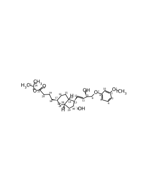 COc1cccc(OC[C@H](O)C=C[C@@H]2[C@H]3CC[C@H](CCCC(=O)OC(C)C)S[C@H]3C[C@H]2O)c1